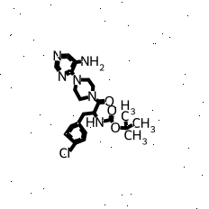 CC(C)(C)OC(=O)NC(Cc1ccc(Cl)cc1)C(=O)N1CCN(c2ncncc2N)CC1